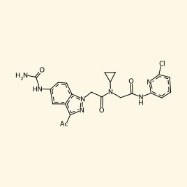 CC(=O)c1nn(CC(=O)N(CC(=O)Nc2cccc(Cl)n2)C2CC2)c2ccc(NC(N)=O)cc12